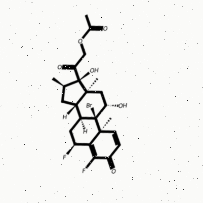 CC(=O)OCC(=O)[C@@]1(O)[C@H](C)C[C@H]2[C@@H]3C[C@H](F)C4=C(F)C(=O)C=C[C@]4(C)[C@@]3(Br)[C@@H](O)C[C@@]21C